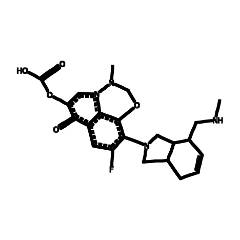 CNCC1C=CCC2CN(c3c(F)cc4c(=O)c(OC(=O)O)cn5c4c3OCN5C)CC12